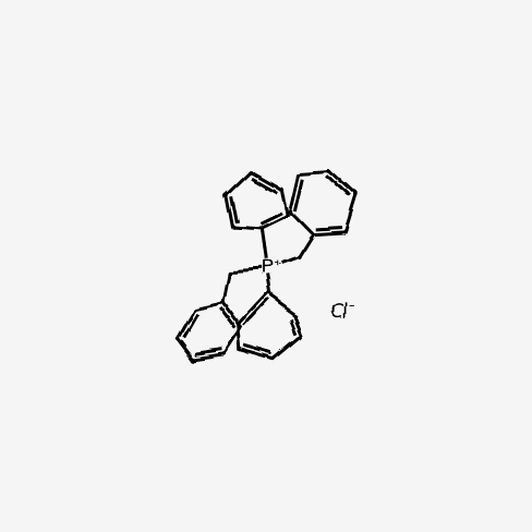 [Cl-].c1ccc(C[P+](Cc2ccccc2)(c2ccccc2)c2ccccc2)cc1